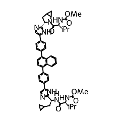 COC(=O)N[C@H](C(=O)N[C@@H](CC1CC1)c1ncc(-c2ccc(-c3ccc(-c4ccc(-c5cnc([C@@H]6CC7CC7N6C(=O)[C@@H](NC(=O)OC)C(C)C)[nH]5)cc4)c4c3C=C=C=C4)cc2)[nH]1)C(C)C